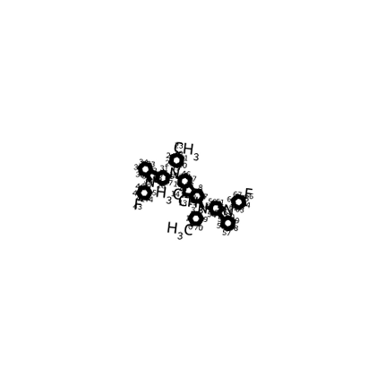 Cc1ccc(N(c2ccc3c(c2)C(C)(C)c2cc(N(c4ccc(C)cc4)c4ccc5c(c4)c4ccccc4n5-c4ccc(F)cc4)ccc2-3)c2ccc3c(c2)c2ccccc2n3-c2ccc(F)cc2)cc1